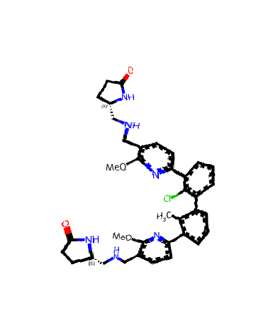 COc1nc(-c2cccc(-c3cccc(-c4ccc(CNC[C@@H]5CCC(=O)N5)c(OC)n4)c3Cl)c2C)ccc1CNC[C@@H]1CCC(=O)N1